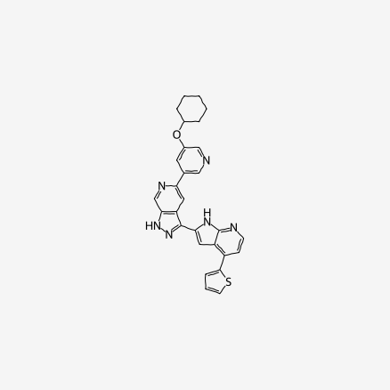 c1csc(-c2ccnc3[nH]c(-c4n[nH]c5cnc(-c6cncc(OC7CCCCC7)c6)cc45)cc23)c1